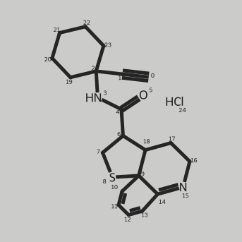 C#CC1(NC(=O)C2CSC34C=CC=CC3=NCCC24)CCCCC1.Cl